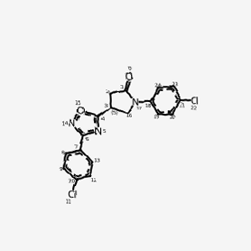 O=C1C[C@H](c2nc(-c3ccc(Cl)cc3)no2)CN1c1ccc(Cl)cc1